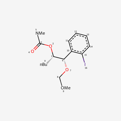 CCCC[C@H](OC(=O)NC)[C@@H](OCOC)c1ccccc1I